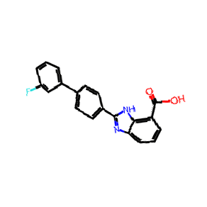 O=C(O)c1cccc2nc(-c3ccc(-c4cccc(F)c4)cc3)[nH]c12